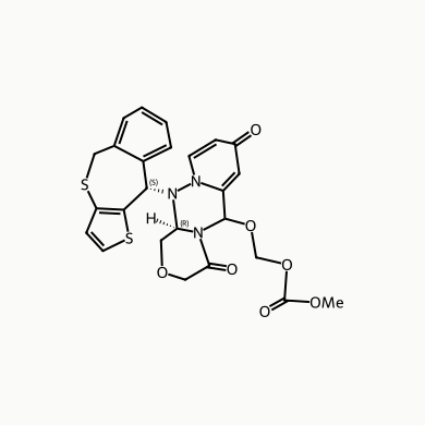 COC(=O)OCOC1c2cc(=O)ccn2N([C@H]2c3ccccc3CSc3ccsc32)[C@@H]2COCC(=O)N12